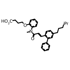 CC(C)CCCc1ccc(C=CC(=O)N(C)c2ccccc2OCCCC(=O)O)c(-c2ccccc2)c1